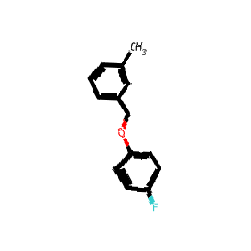 Cc1[c]c(COc2ccc(F)cc2)ccc1